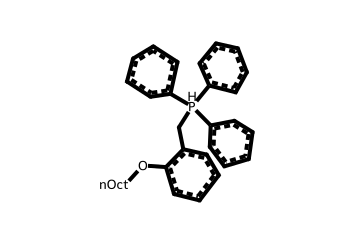 CCCCCCCCOc1ccccc1C[PH](c1ccccc1)(c1ccccc1)c1ccccc1